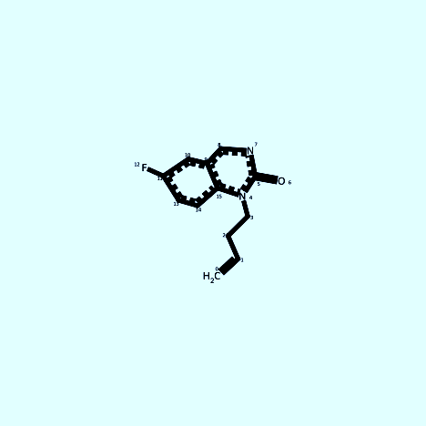 C=CCCn1c(=O)ncc2cc(F)ccc21